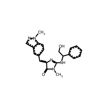 CN1C(=O)/C(=C/c2ccc3c(cnn3C)c2)N=C1NC(CO)c1ccccc1